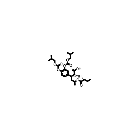 CCCC(=O)OC(C)CC(c1ccc(OC(=O)OCC(C)C)c(OC(=O)OCC(C)C)c1)[C@H](N)C(=O)O